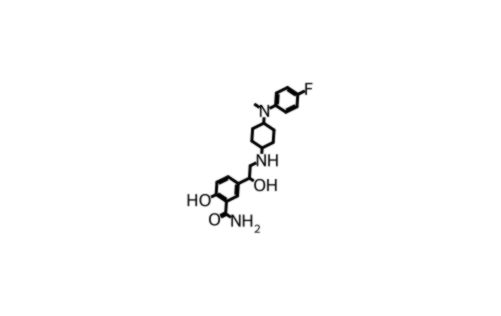 CN(c1ccc(F)cc1)C1CCC(NCC(O)c2ccc(O)c(C(N)=O)c2)CC1